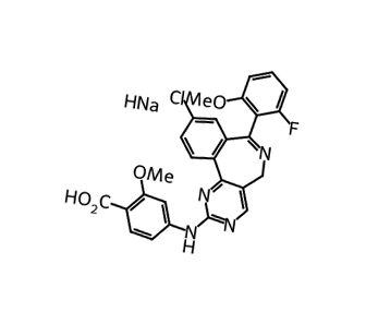 COc1cc(Nc2ncc3c(n2)-c2ccc(Cl)cc2C(c2c(F)cccc2OC)=NC3)ccc1C(=O)O.[NaH]